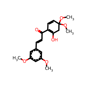 COc1cc(C=CC(=O)C2=C(O)CC(OC)(OC)C=C2)cc(OC)c1